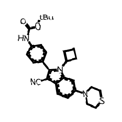 CC(C)(C)OC(=O)Nc1ccc(-c2c(C#N)c3ccc(N4CCSCC4)cc3n2C2CCC2)cc1